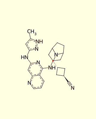 Cc1cc(Nc2cc3ncccc3c(NC3CC4CCC(C3)N4C[C@H]3C[C@H](C#N)C3)n2)n[nH]1